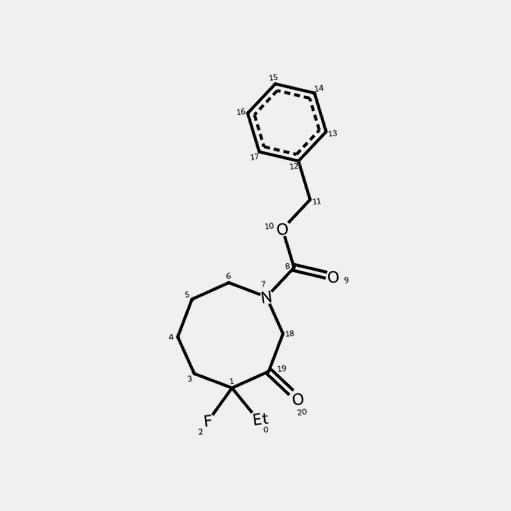 CCC1(F)CCCCN(C(=O)OCc2ccccc2)CC1=O